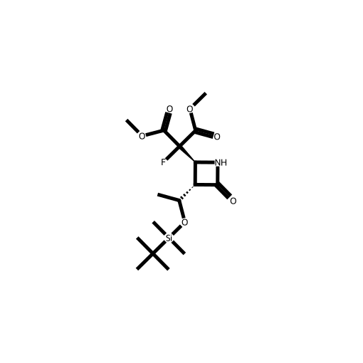 COC(=O)C(F)(C(=O)OC)[C@H]1NC(=O)[C@@H]1C(C)O[Si](C)(C)C(C)(C)C